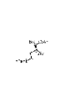 CCCCCCC/C(Br)=C(\Br)OC(C)=O